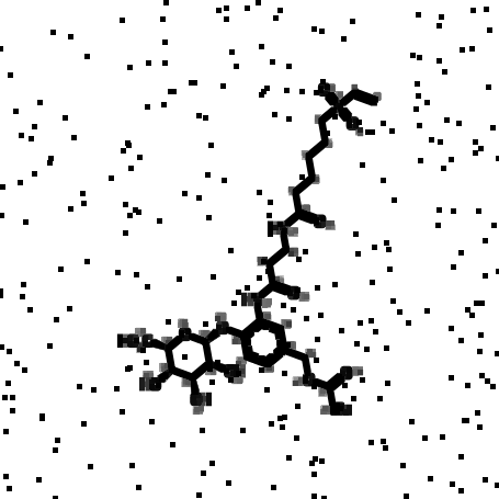 C=CS(=O)(=O)CCCCCC(=O)NCCC(=O)Nc1cc(COC(=O)C(C)(C)C)ccc1O[C@@H]1O[C@H](C(=O)O)[C@H](O)[C@H](O)[C@@H]1O